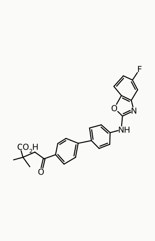 CC(C)(CC(=O)c1ccc(-c2ccc(Nc3nc4cc(F)ccc4o3)cc2)cc1)C(=O)O